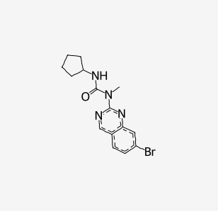 CN(C(=O)NC1CCCC1)c1ncc2ccc(Br)cc2n1